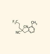 Cc1cccc(CC(C#N)(C#N)CCC(F)(F)F)c1